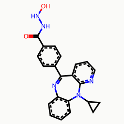 O=C(NNO)c1ccc(C2=Nc3ccccc3N(C3CC3)c3ncccc32)cc1